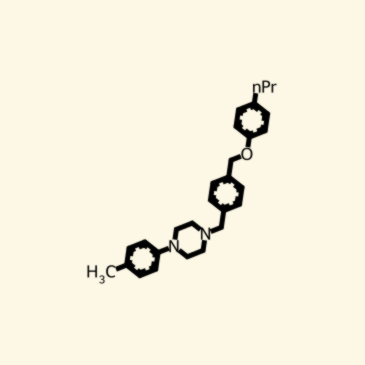 CCCc1ccc(OCc2ccc(CN3CCN(c4ccc(C)cc4)CC3)cc2)cc1